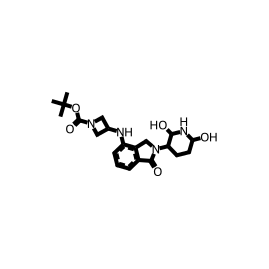 CC(C)(C)OC(=O)N1CC(Nc2cccc3c2CN(C2CCC(O)NC2O)C3=O)C1